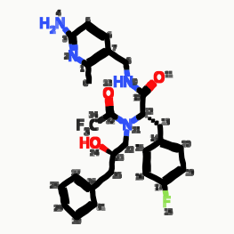 Cc1nc(N)ccc1CNC(=O)[C@H](Cc1ccc(F)cc1)N(C[C@H](O)Cc1ccccc1)C(=O)C(F)(F)F